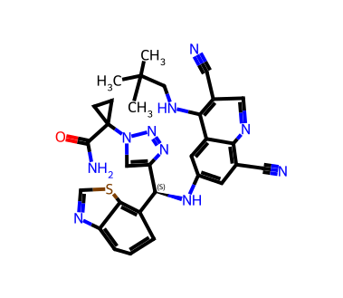 CC(C)(C)CNc1c(C#N)cnc2c(C#N)cc(N[C@H](c3cn(C4(C(N)=O)CC4)nn3)c3cccc4ncsc34)cc12